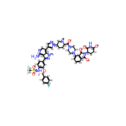 C[C@H](Oc1cc(-c2nn(C)c3c(-c4cnn(C5CCC(C(=O)N6CCN(c7cccc8c7C(=O)N(C7CCC(=O)NC7=O)C8=O)CC6)N(C)C5)c4)cnc(N)c23)ccc1NS(=O)(=O)C(F)F)c1ccc(F)cc1